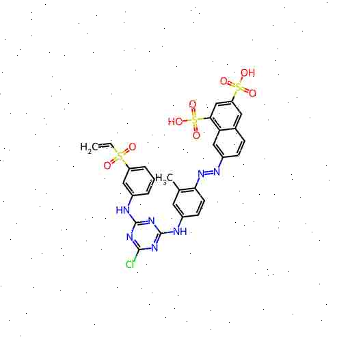 C=CS(=O)(=O)c1cccc(Nc2nc(Cl)nc(Nc3ccc(N=Nc4ccc5cc(S(=O)(=O)O)cc(S(=O)(=O)O)c5c4)c(C)c3)n2)c1